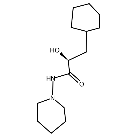 O=C(NN1CCCCC1)[C@@H](O)CC1CCCCC1